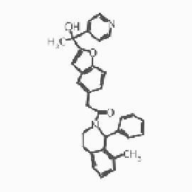 Cc1cccc2c1C(c1ccccc1)N(C(=O)Cc1ccc3oc(C(C)(O)c4ccncc4)cc3c1)CC2